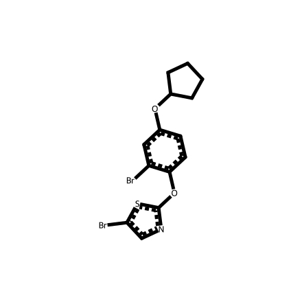 Brc1cnc(Oc2ccc(OC3CCCC3)cc2Br)s1